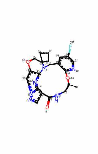 C[C@H]1CNC(=O)c2cnn3cc4c(nc23)N(Cc2cc(F)cnc2O1)C1(CCC1)CO4